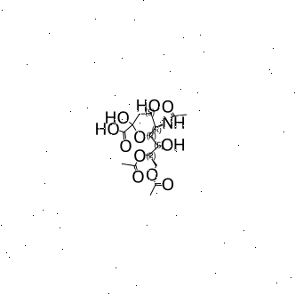 CC(=O)N[C@H]1[C@H]([C@H](O)[C@@H](COC(C)=O)OC(C)=O)OC(O)(C(=O)O)C[C@@H]1O